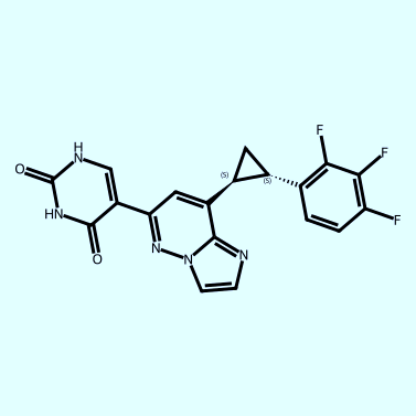 O=c1[nH]cc(-c2cc([C@H]3C[C@@H]3c3ccc(F)c(F)c3F)c3nccn3n2)c(=O)[nH]1